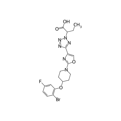 CCC(C(=O)O)n1nnc(-c2coc(N3CCC(Oc4cc(F)ccc4Br)CC3)n2)n1